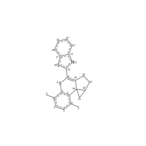 Cc1ccc(C)c2c1SC(c1nc3ccccc3s1)=C1CCC3CC123